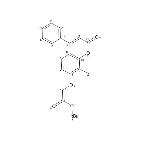 Cc1c(OCC(=O)OC(C)(C)C)ccc2c(-c3ccccc3)cc(=O)oc12